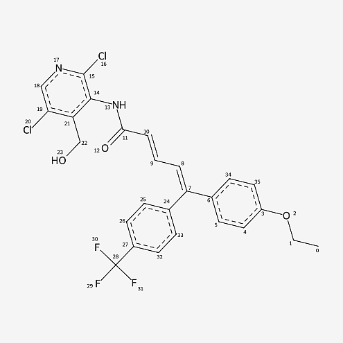 CCOc1ccc(C(=CC=CC(=O)Nc2c(Cl)ncc(Cl)c2CO)c2ccc(C(F)(F)F)cc2)cc1